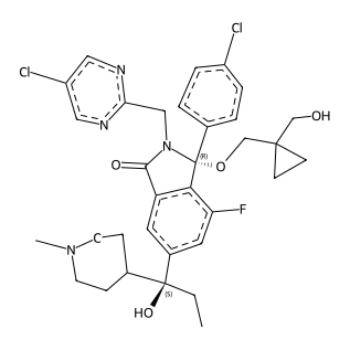 CC[C@@](O)(c1cc(F)c2c(c1)C(=O)N(Cc1ncc(Cl)cn1)[C@@]2(OCC1(CO)CC1)c1ccc(Cl)cc1)C1CCN(C)CC1